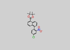 CC1(C)OB(c2cccc3c(-c4ccc(Cl)cc4[N+](=O)[O-])cccc23)OC1(C)C